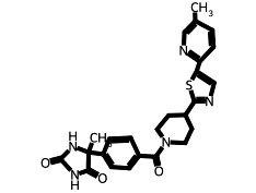 Cc1ccc(-c2cnc(C3CCN(C(=O)c4ccc(C5(C)NC(=O)NC5=O)cc4)CC3)s2)nc1